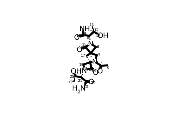 CC(=O)N1CC2(CN([C@H](C(N)=O)[C@@H](C)O)C2=O)C[C@]12CN([C@H](C(N)=O)[C@@H](C)O)C2=O